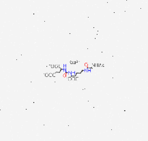 CC(=O)NCC(=O)NCCCCC(NC(=O)NC(CCC(=O)[O-])C(=O)[O-])C(=O)[O-].[Ga+3]